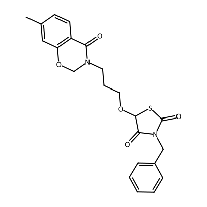 Cc1ccc2c(c1)OCN(CCCOC1SC(=O)N(Cc3ccccc3)C1=O)C2=O